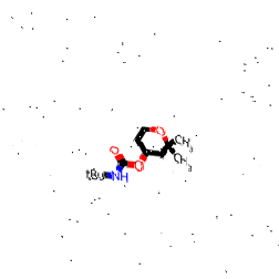 CC(C)(C)NC(=O)OC1CCOC(C)(C)C1